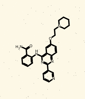 NC(=O)c1ccccc1Nc1nc(-c2cccnc2)nc2ccc(OCCN3CCCCC3)cc12